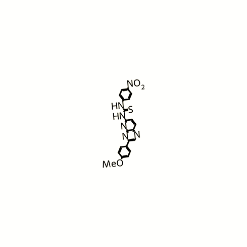 COc1ccc(-c2cnc3ccc(NC(=S)Nc4ccc([N+](=O)[O-])cc4)nc3n2)cc1